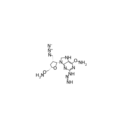 [N-]=[N+]=NC[C@H]1C[C@@H](CON)O[C@H]1N1CNc2c(ON)nc(NN=N)nc21